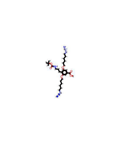 COC(=O)c1cc(OCCCCCCN=[N+]=[N-])c(CCCNC(=O)OC(C)(C)C)c(OCCCCCCN=[N+]=[N-])c1